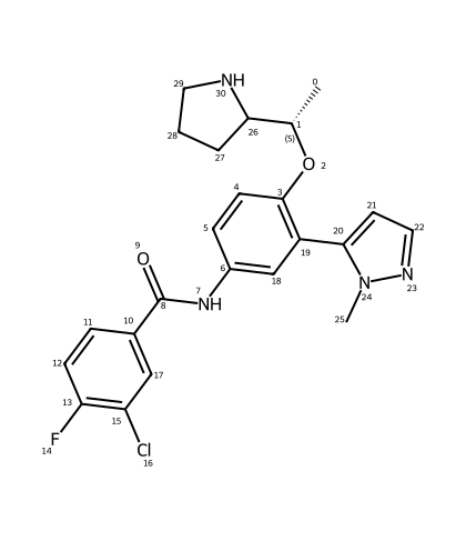 C[C@H](Oc1ccc(NC(=O)c2ccc(F)c(Cl)c2)cc1-c1ccnn1C)C1CCCN1